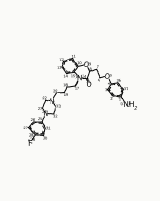 Nc1ccc(OCCC2Oc3ccccc3N(CCCCN3CCN(c4ccc(F)cc4)CC3)C2=O)cc1